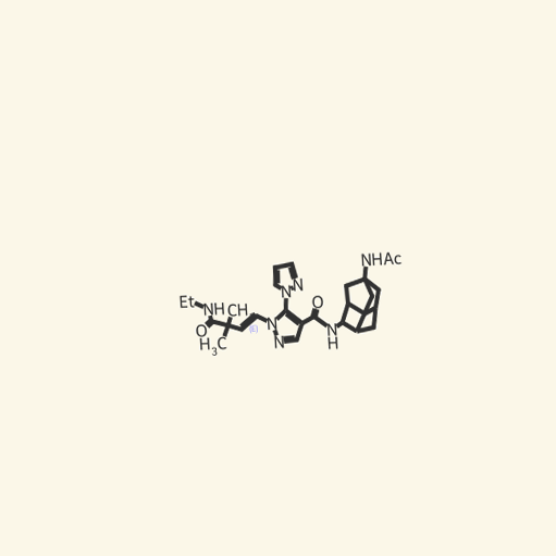 CCNC(=O)C(C)(C)/C=C/n1ncc(C(=O)NC2C3CC4CC2CC(NC(C)=O)(C4)C3)c1-n1cccn1